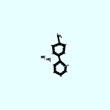 Cl.Cl.Nc1ccc(-c2ccccn2)cc1